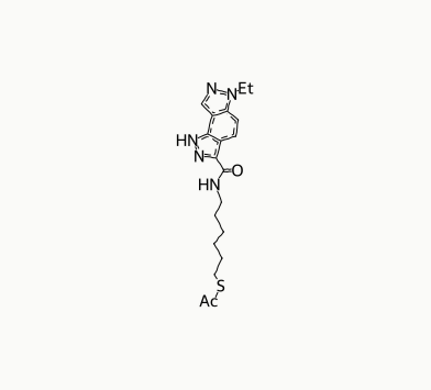 CCn1ncc2c3[nH]nc(C(=O)NCCCCCCSC(C)=O)c3ccc21